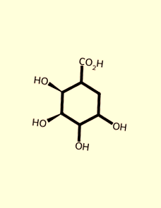 O=C(O)C1CC(O)C(O)[C@@H](O)[C@H]1O